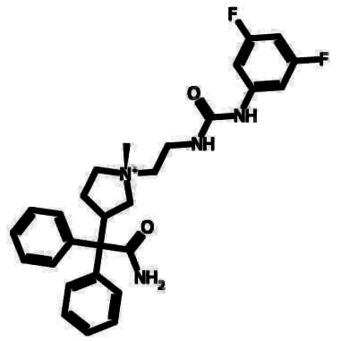 C[N@+]1(CCNC(=O)Nc2cc(F)cc(F)c2)CCC(C(C(N)=O)(c2ccccc2)c2ccccc2)C1